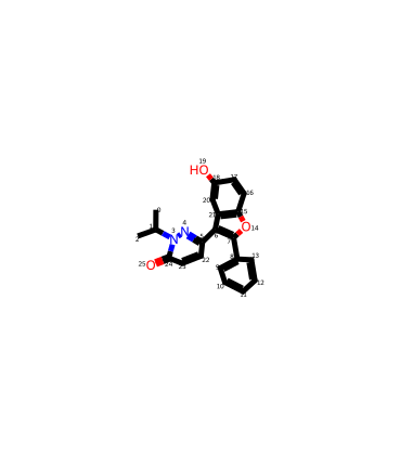 CC(C)n1nc(-c2c(-c3ccccc3)oc3ccc(O)cc23)ccc1=O